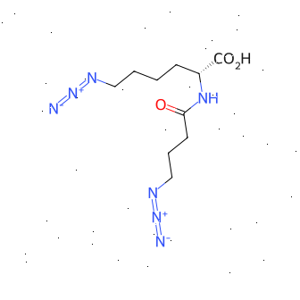 [N-]=[N+]=NCCCC[C@@H](NC(=O)CCCN=[N+]=[N-])C(=O)O